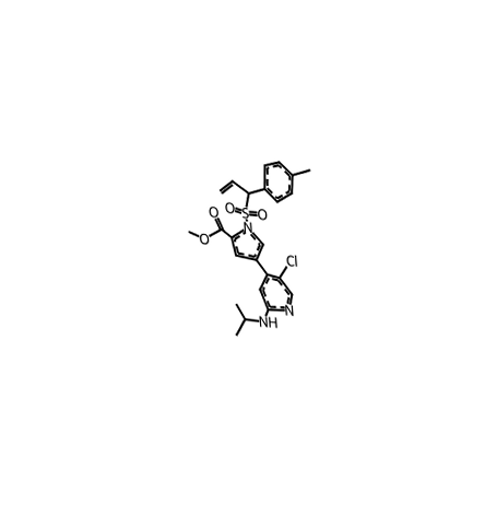 C=CC(c1ccc(C)cc1)S(=O)(=O)n1cc(-c2cc(NC(C)C)ncc2Cl)cc1C(=O)OC